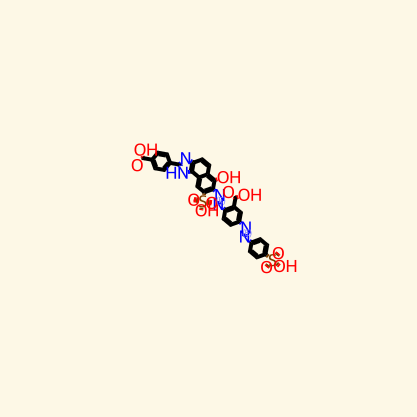 O=C(O)c1ccc(-c2nc3ccc4c(O)c(/N=N/c5ccc(/N=N/c6ccc(S(=O)(=O)O)cc6)cc5C(=O)O)c(S(=O)(=O)O)cc4c3[nH]2)cc1